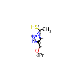 CC(C)OCc1cn(C(C)S)nn1